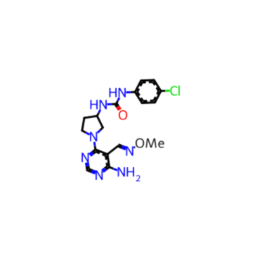 CO/N=C/c1c(N)ncnc1N1CCC(NC(=O)Nc2ccc(Cl)cc2)C1